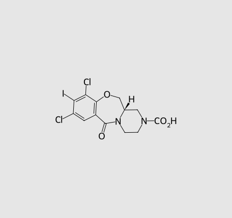 O=C(O)N1CCN2C(=O)c3cc(Cl)c(I)c(Cl)c3OC[C@@H]2C1